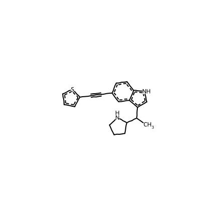 CC(c1c[nH]c2ccc(C#Cc3cccs3)cc12)C1CCCN1